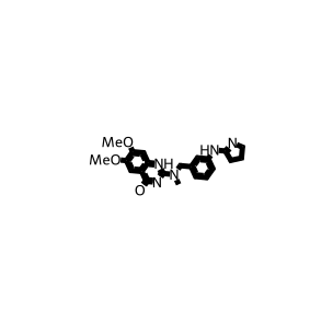 COc1cc2[nH]c(N(C)Cc3cccc(NC4=NCCC4)c3)nc(=O)c2cc1OC